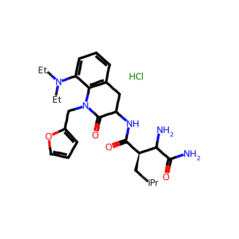 CCN(CC)c1cccc2c1N(Cc1ccco1)C(=O)C(NC(=O)[C@H](CC(C)C)C(N)C(N)=O)C2.Cl